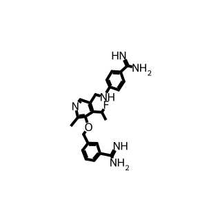 Cc1ncc(CNc2ccc(C(=N)N)cc2)c(C(C)F)c1OCc1cccc(C(=N)N)c1